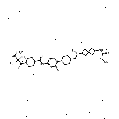 CCN(CC1CCC(n2ccc(NC(=O)N3CCN(C(=O)C(C)(C)NC(=O)O)CC3)nc2=O)CC1)C1CC2(CC(NC(=O)OC(C)(C)C)C2)C1